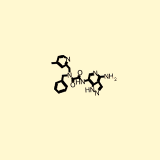 Cc1ccnc(CN(Cc2ccccc2)C(=O)C(=O)Nc2cnc(N)c3cn[nH]c23)c1